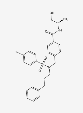 C[C@H](CO)NC(=O)c1ccc(CN(CCCc2ccccc2)S(=O)(=O)c2ccc(Cl)cc2)cc1